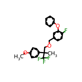 COc1ccc(C(C)(COCc2ccc(F)c(Oc3ccccc3)c2)C(F)(F)F)cc1